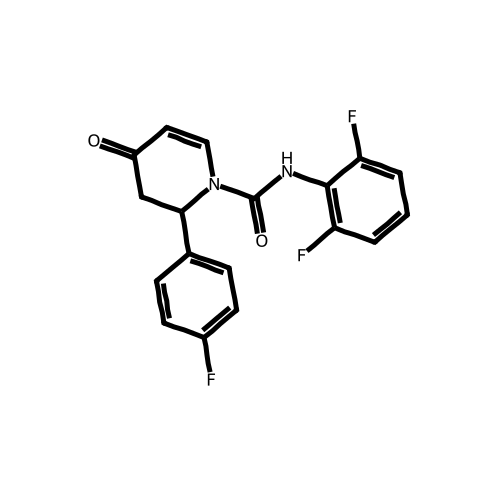 O=C1C=CN(C(=O)Nc2c(F)cccc2F)C(c2ccc(F)cc2)C1